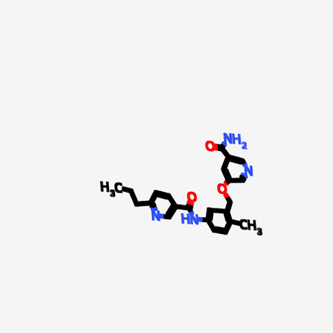 CCCc1ccc(C(=O)Nc2ccc(C)c(COc3cncc(C(N)=O)c3)c2)cn1